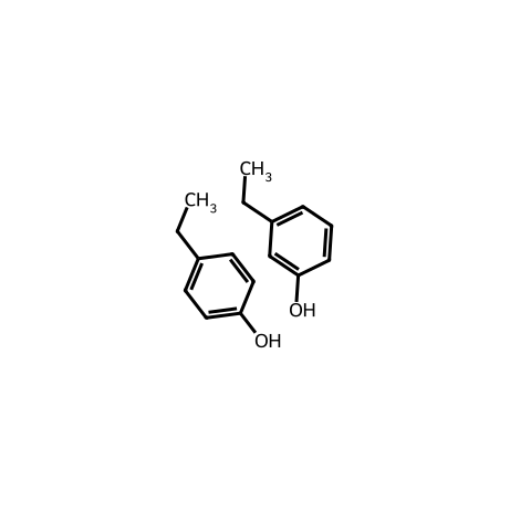 CCc1ccc(O)cc1.CCc1cccc(O)c1